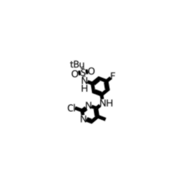 Cc1cnc(Cl)nc1Nc1cc(F)cc(NS(=O)(=O)C(C)(C)C)c1